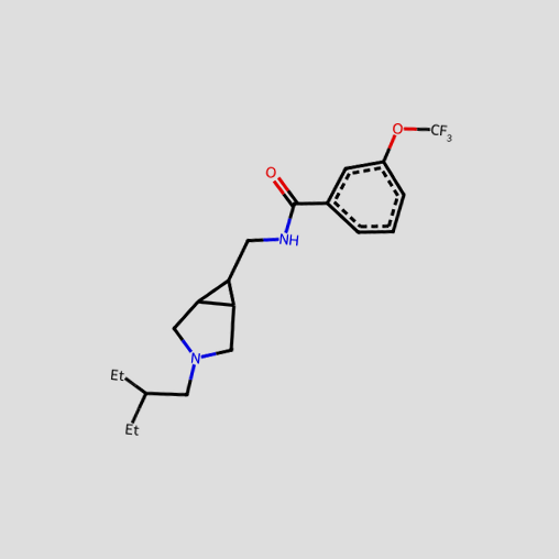 CCC(CC)CN1CC2C(CNC(=O)c3cccc(OC(F)(F)F)c3)C2C1